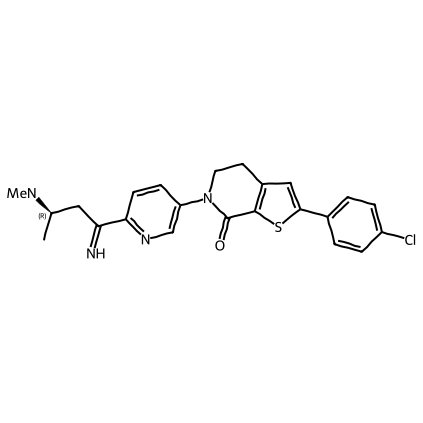 CN[C@H](C)CC(=N)c1ccc(N2CCc3cc(-c4ccc(Cl)cc4)sc3C2=O)cn1